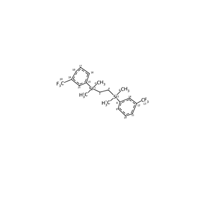 C[Si](C)(CC[Si](C)(C)c1cccc(C(F)(F)F)c1)c1cccc(C(F)(F)F)c1